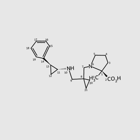 C[C@@]1(C(=O)O)CCCN1CC1(CN[C@@H]2C[C@H]2c2ccccc2)CC1